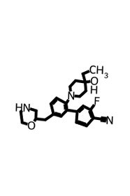 CCC1(O)CCN(c2ccc(CC3CNCCO3)cc2-c2ccc(C#N)c(F)c2)CC1